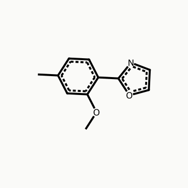 COc1cc(C)ccc1-c1ncco1